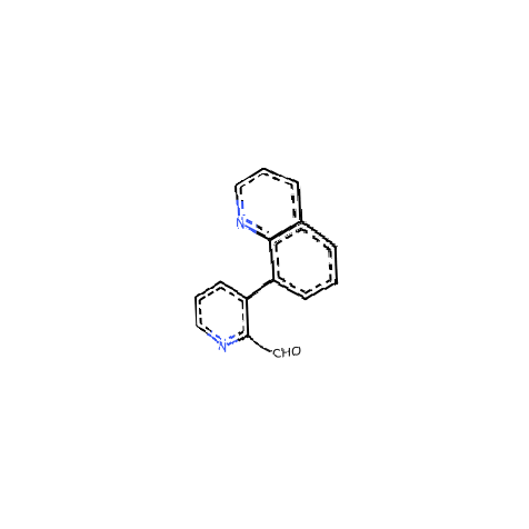 O=Cc1ncccc1-c1cccc2cccnc12